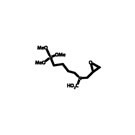 CO[Si](CCCCN(CC1CO1)C(=O)O)(OC)OC